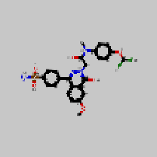 COc1ccc2c(-c3ccc(S(N)(=O)=O)cc3)nn(CC(=O)N(C)c3ccc(OC(F)F)cc3)c(=O)c2c1